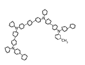 CC1C=CC=C(N(c2ccc(-c3ccccc3)cc2)c2ccc(-c3ccc(N(c4ccccc4)c4ccc(-c5ccc(-c6ccc(N(c7ccccc7)c7ccc(-c8ccc(N(c9ccccc9)c9ccc(-c%10ccccc%10)cc9)cc8)cc7)cc6)cc5)cc4)cc3)cc2)C1